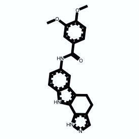 COc1ccc(C(=O)Nc2ccc3[nH]c4c(c3c2)CCc2cn[nH]c2-4)cc1OC